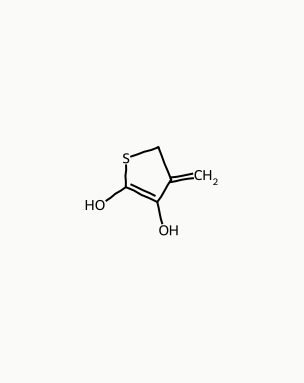 C=C1CSC(O)=C1O